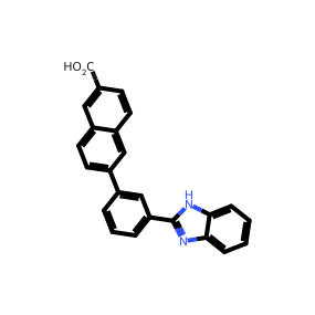 O=C(O)c1ccc2cc(-c3cccc(-c4nc5ccccc5[nH]4)c3)ccc2c1